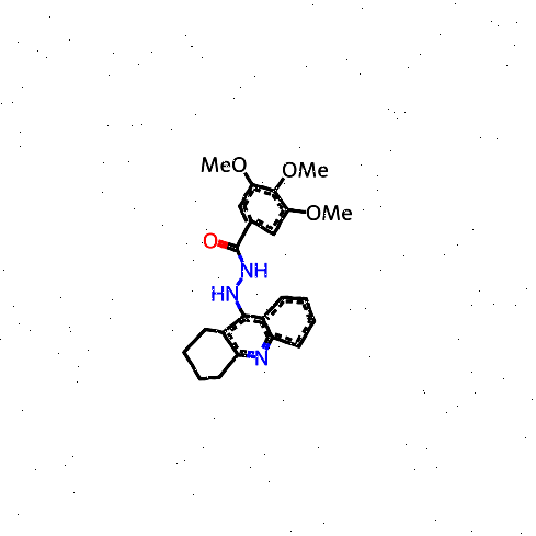 COc1cc(C(=O)NNc2c3c(nc4ccccc24)CCCC3)cc(OC)c1OC